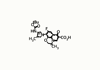 C[C@H]1CN(c2c(F)cc3c(=O)c(C(=O)O)cn4c3c2OC[C@@H]4C)C[C@H]1NC(=O)OC(C)(C)C